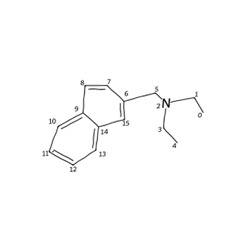 CCN(CC)Cc1ccc2c[c]ccc2c1